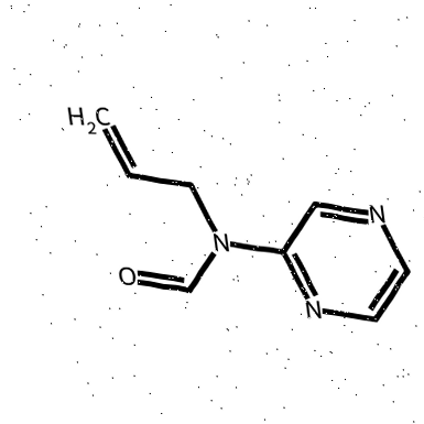 C=CCN(C=O)c1cnccn1